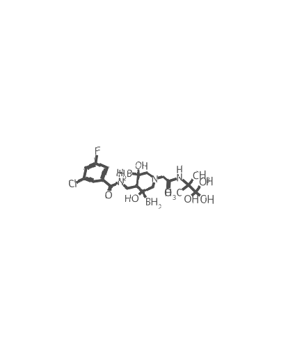 BC1(O)CN(CC(=O)NC(C)(C)C(O)(O)O)CC(B)(O)C1CNC(=O)c1cc(F)cc(Cl)c1